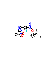 C[Si](C)(C)CCOCc1n[nH]c(-c2ccc(-c3cnn4ccc(N5C(=O)OC[C@@H]5C5CCCC5)nc34)cc2F)n1